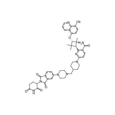 CC1(C)[C@H](Oc2ccc(C#N)c3ncccc23)C(C)(C)[C@H]1c1nc(N2CCC(CN3CCN(c4ccc5c(c4)C(=O)N(C4CCC(=O)NC4=O)C5=O)CC3)CC2)ccc1C(N)=O